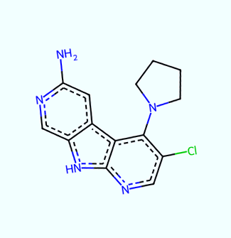 Nc1cc2c(cn1)[nH]c1ncc(Cl)c(N3CCCC3)c12